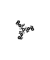 CCC(C)CN(C(=O)C1CC(C(=O)N(CC(C)CC)c2ccc(-c3nccc4ccccc34)cc2)CC(C(=O)N(CC(C)CC)c2ccc(-c3nccc4ccccc34)cc2)C1)c1ccc(-c2nccc3ccccc23)cc1